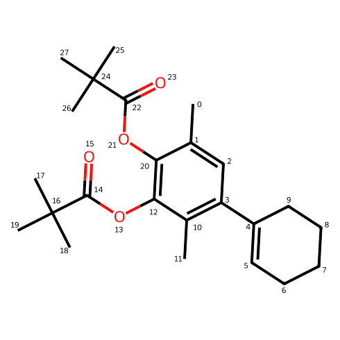 Cc1cc(C2=CCCCC2)c(C)c(OC(=O)C(C)(C)C)c1OC(=O)C(C)(C)C